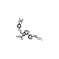 CCCNc1nccc(-c2nccc3c2cc(C(=O)O)n3CCOc2ccc(OC(F)(F)F)cc2)n1